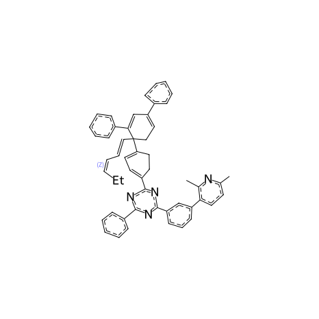 CC/C=C\C=CC1(C2=CC=C(c3nc(-c4ccccc4)nc(-c4cccc(-c5ccc(C)nc5C)c4)n3)CC2)CC=C(c2ccccc2)C=C1c1ccccc1